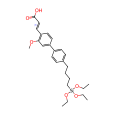 CCO[Si](CCCCc1ccc(-c2ccc(/C=C/C(=O)O)c(OC)c2)cc1)(OCC)OCC